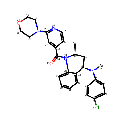 CC(=O)N(c1ccc(Cl)cc1)[C@@H]1C[C@H](C)N(C(=O)c2ccnc(N3CCOCC3)c2)c2ccccc21